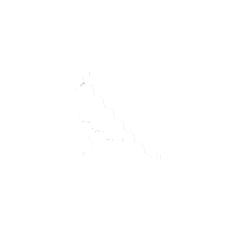 CCCCCCCCCCCCCC(=O)O.OCCN(CCO)CCO